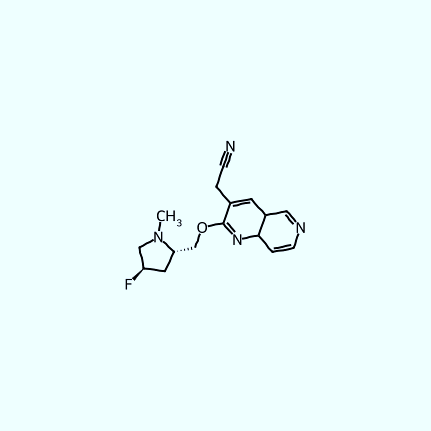 CN1C[C@H](F)C[C@H]1COC1=NC2C=CN=CC2C=C1CC#N